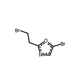 BrCCc1ncc(Br)o1